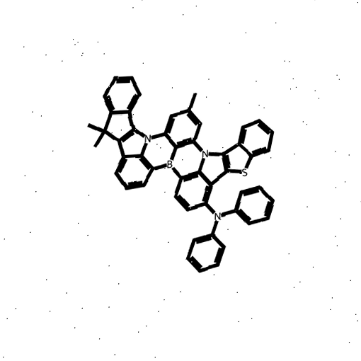 Cc1cc2c3c(c1)-n1c4c(ccc(N(c5ccccc5)c5ccccc5)c4c4sc5ccccc5c41)B3c1cccc3c4c(n-2c13)-c1ccccc1C4(C)C